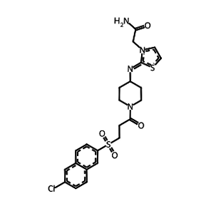 NC(=O)Cn1ccs/c1=N\C1CCN(C(=O)CCS(=O)(=O)c2ccc3cc(Cl)ccc3c2)CC1